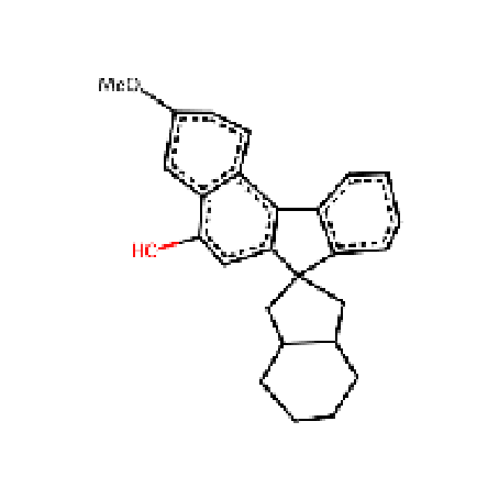 COc1ccc2c3c(cc(O)c2c1)C1(CC2CCCCC2C1)c1ccccc1-3